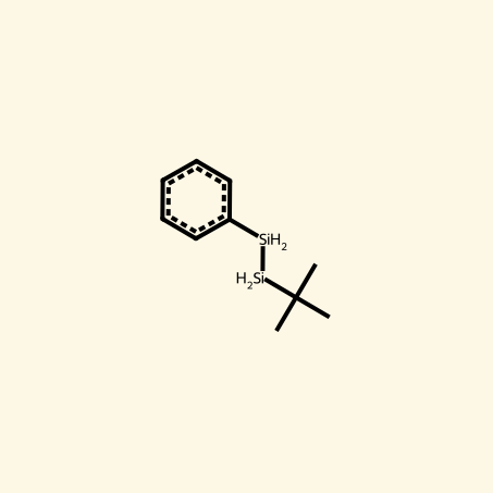 CC(C)(C)[SiH2][SiH2]c1ccccc1